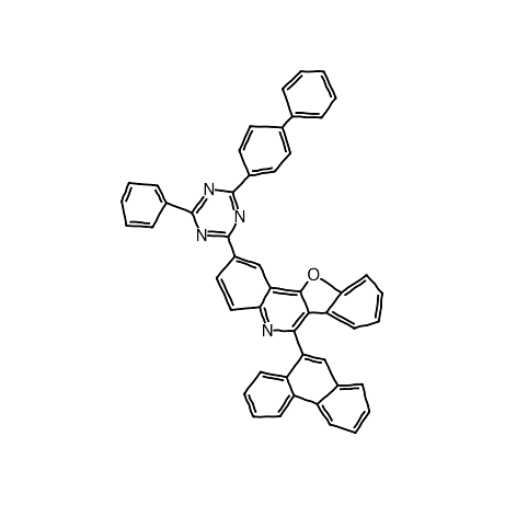 c1ccc(-c2ccc(-c3nc(-c4ccccc4)nc(-c4ccc5nc(-c6cc7ccccc7c7ccccc67)c6c7ccccc7oc6c5c4)n3)cc2)cc1